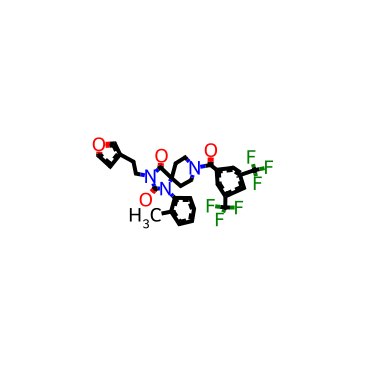 Cc1ccccc1N1C(=O)N(CCc2ccoc2)C(=O)C12CCN(C(=O)c1cc(C(F)(F)F)cc(C(F)(F)F)c1)CC2